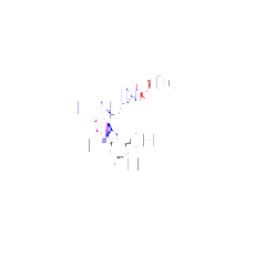 C=C1CC(C)CC(CC)(c2noc([C@@H](N)CCCNC(=O)OC(C)(C)C)n2)C1